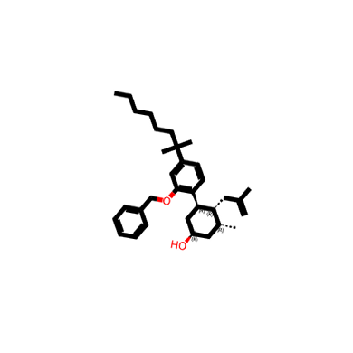 C=C(C)C[C@@H]1[C@H](C)C[C@@H](O)C[C@H]1c1ccc(C(C)(C)CCCCCC)cc1OCc1ccccc1